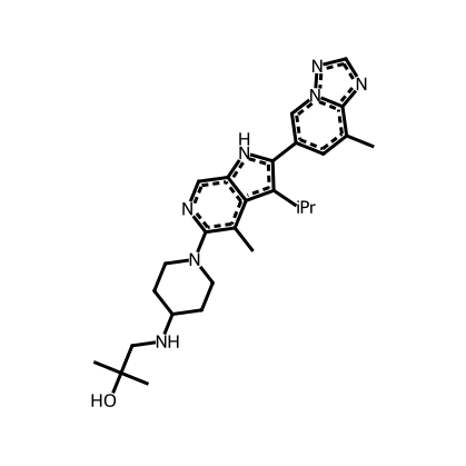 Cc1c(N2CCC(NCC(C)(C)O)CC2)ncc2[nH]c(-c3cc(C)c4ncnn4c3)c(C(C)C)c12